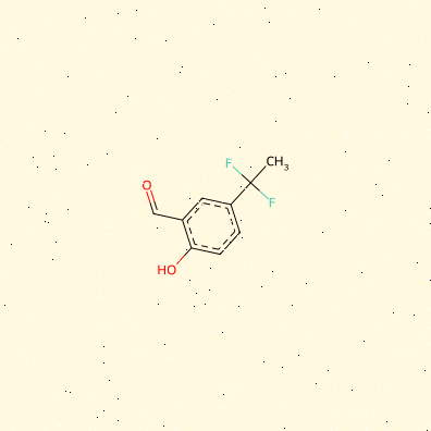 CC(F)(F)c1ccc(O)c(C=O)c1